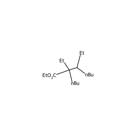 CCCCC(CC)C(CC)(CCCC)C(=O)OCC